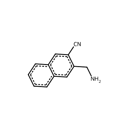 N#Cc1cc2ccccc2cc1CN